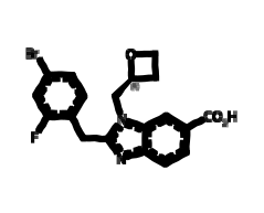 O=C(O)c1ccc2nc(Cc3ccc(Br)cc3F)n(C[C@@H]3CCO3)c2c1